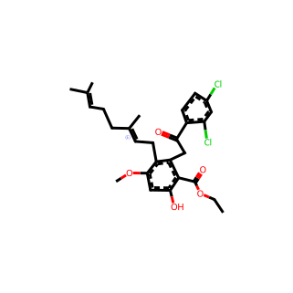 CCOC(=O)c1c(O)cc(OC)c(C/C=C(\C)CCC=C(C)C)c1CC(=O)c1ccc(Cl)cc1Cl